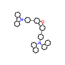 c1ccc2c(N(c3ccc(-c4ccc5oc6ccc(-c7ccc(-n8c9ccccc9c9ccccc98)cc7)cc6c5c4)cc3)c3cccc4ccccc34)cccc2c1